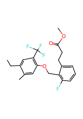 CCc1cc(C(F)(F)F)c(OCc2c(F)cccc2CCC(=O)OC)cc1C